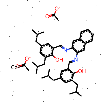 CC(=O)[O-].CC(=O)[O-].CC(C)Cc1cc(C=Nc2cc3ccccc3cc2N=Cc2cc(CC(C)C)cc(CC(C)C)c2O)c(O)c(CC(C)C)c1.[Co+2]